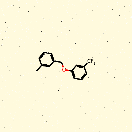 Cc1cccc(COc2cccc(C(F)(F)F)c2)c1